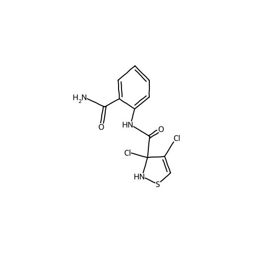 NC(=O)c1ccccc1NC(=O)C1(Cl)NSC=C1Cl